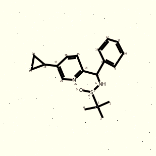 CC(C)(C)[S+]([O-])NC(c1ccccc1)c1ccc(C2CC2)cn1